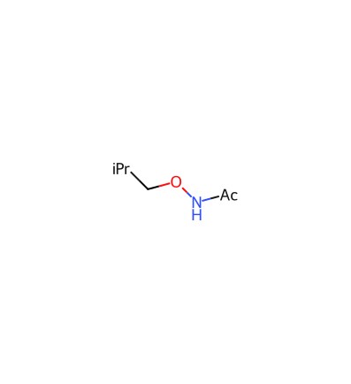 CC(=O)NOCC(C)C